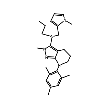 CCCN(Cc1cccn1C)c1c2c(nn1C)N(c1c(C)cc(C)cc1C)CCC2